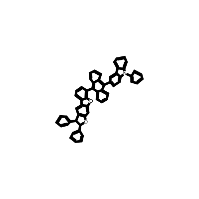 c1ccc(C2Oc3cc4oc5c(-c6c7ccccc7c(-c7ccc8c(c7)c7ccccc7n8-c7ccccc7)c7ccccc67)cccc5c4cc3C2c2ccccc2)cc1